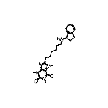 Cn1c(=O)c2c(nc(CCCCCCNC3CCc4ccccc43)n2C)n(C)c1=O